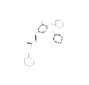 O=C(NOC1CCCCO1)/C(F)=C/c1cnc(N[C@]2(Cc3ccccc3)CCNC2)c(Cl)c1